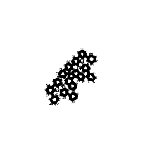 c1ccc(-c2cccc(N(c3cc4c(c5ccccc35)-c3c(cc(N(c5cccc(-c6ccccc6)c5)c5cccc6c5oc5c(C7CCCCC7)cccc56)c5ccccc35)C4(c3ccccc3)c3ccccc3)c3cccc4c3oc3c(C5CCCCC5)cccc34)c2)cc1